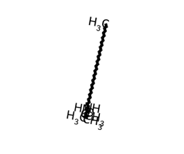 CCCCCCCCCCCCCCCCCCCCCCCCCCCCCCCCCCCNNC(=O)OC(C)(C)C